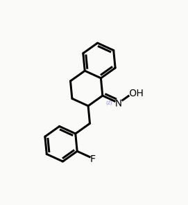 O/N=C1\c2ccccc2CCC1Cc1ccccc1F